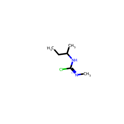 CCC(C)N/C(Cl)=N\C